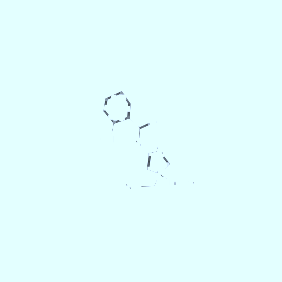 CCCCCC[N+]1(CC#N)C=NC(NC(=O)c2ccccc2C(=O)O)=C1